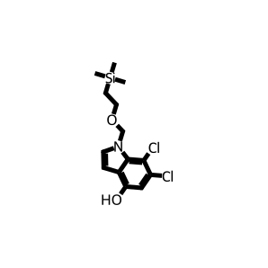 C[Si](C)(C)CCOCn1ccc2c(O)cc(Cl)c(Cl)c21